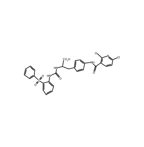 O=C(Nc1ccccc1S(=O)(=O)c1ccccc1)NC(Cc1ccc(NC(=O)c2ccc(Cl)nc2Cl)cc1)C(=O)O